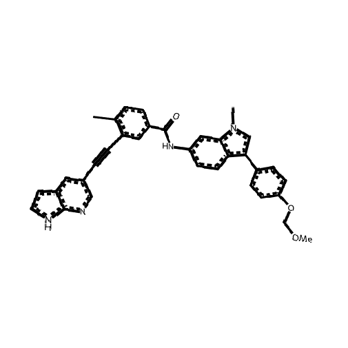 COCOc1ccc(-c2cn(C)c3cc(NC(=O)c4ccc(C)c(C#Cc5cnc6[nH]ccc6c5)c4)ccc23)cc1